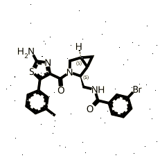 Cc1cccc(-c2sc(N)nc2C(=O)N2C[C@H]3CC3[C@H]2CNC(=O)c2cccc(Br)c2)c1